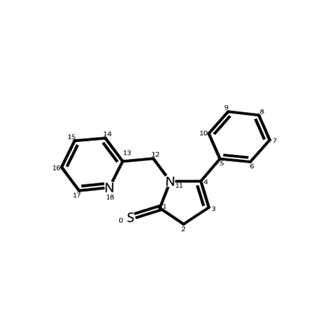 S=C1CC=C(c2ccccc2)N1Cc1ccccn1